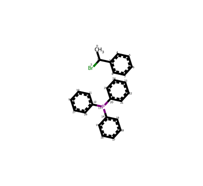 CC(Br)c1ccccc1.c1ccc(P(c2ccccc2)c2ccccc2)cc1